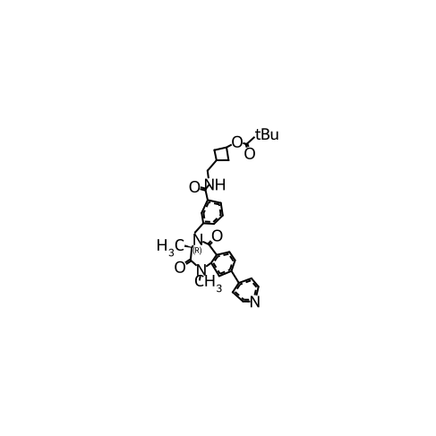 C[C@@H]1C(=O)N(C)c2cc(-c3ccncc3)ccc2C(=O)N1Cc1cccc(C(=O)NCC2CC(OC(=O)C(C)(C)C)C2)c1